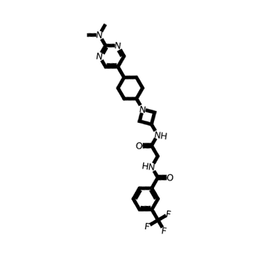 CN(C)c1ncc(C2CCC(N3CC(NC(=O)CNC(=O)c4cccc(C(F)(F)F)c4)C3)CC2)cn1